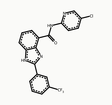 O=C(Nc1ccc(Cl)cn1)c1cccc2[nH]c(-c3cccc(C(F)(F)F)c3)nc12